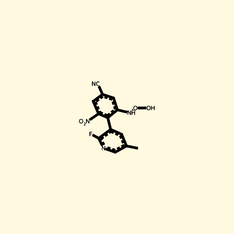 Cc1cnc(F)c(-c2c(NOO)cc(C#N)cc2[N+](=O)[O-])c1